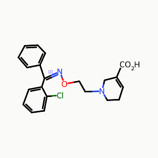 O=C(O)C1=CCCN(CCO/N=C(/c2ccccc2)c2ccccc2Cl)C1